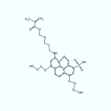 C=C(C)C(=O)OCOCCCNc1cc(SOOO)c2ccc3c(SOOO)cc(S(=O)(=O)O)c4ccc1c2c34